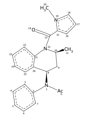 CC(=O)N(c1ccccc1)[C@@H]1C[C@H](C)N(C(=O)c2cccn2C)c2ccccc21